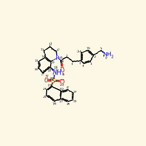 NCc1ccc(CCC(=O)N2CCCc3cccc(NS(=O)(=O)c4cccc5ccccc45)c32)cc1